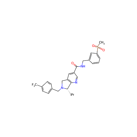 CC(C)[C@H]1c2ncc(C(=O)NCc3cccc(S(C)(=O)=O)c3)cc2CN1Cc1ccc(C(F)(F)F)cc1